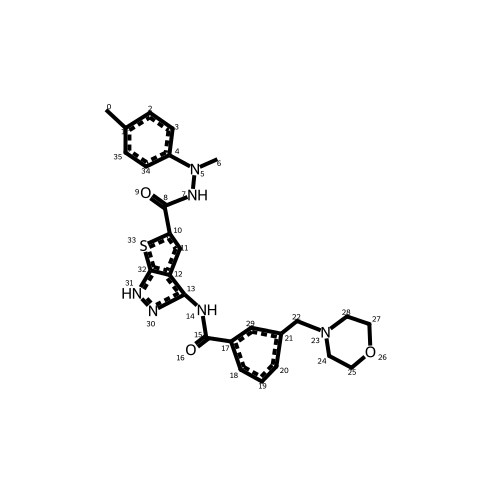 Cc1ccc(N(C)NC(=O)c2cc3c(NC(=O)c4cccc(CN5CCOCC5)c4)n[nH]c3s2)cc1